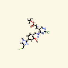 COc1cc(-c2nc(CF)cn2C)ccc1CNc1nc(Cl)ncc1/C=C/C(=O)OC(C)(C)C